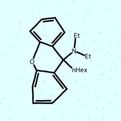 CCCCCCC1(N(CC)CC)c2ccccc2Oc2ccccc21